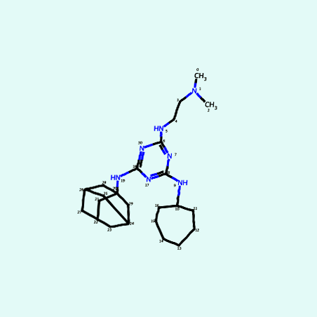 CN(C)CCNc1nc(NC2CCCCCC2)nc(NC23CC4CC(CC(C4)C2)C3)n1